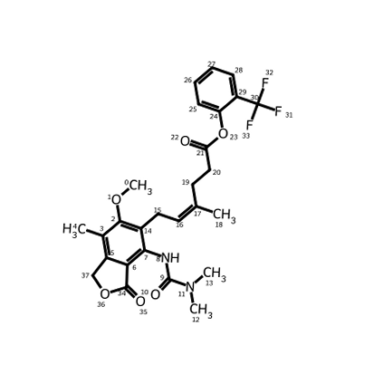 COc1c(C)c2c(c(NC(=O)N(C)C)c1CC=C(C)CCC(=O)Oc1ccccc1C(F)(F)F)C(=O)OC2